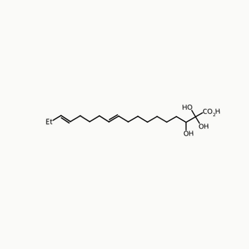 CC/C=C/CCC/C=C/CCCCCCC(O)C(O)(O)C(=O)O